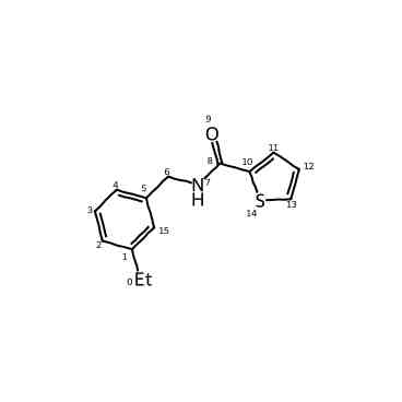 CCc1cccc(CNC(=O)c2cccs2)c1